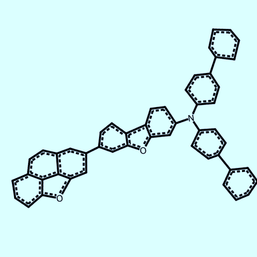 c1ccc(-c2ccc(N(c3ccc(-c4ccccc4)cc3)c3ccc4c(c3)oc3cc(-c5cc6ccc7cccc8oc(c5)c6c78)ccc34)cc2)cc1